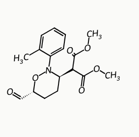 COC(=O)C(C(=O)OC)[C@H]1CC[C@H](C=O)ON1c1ccccc1C